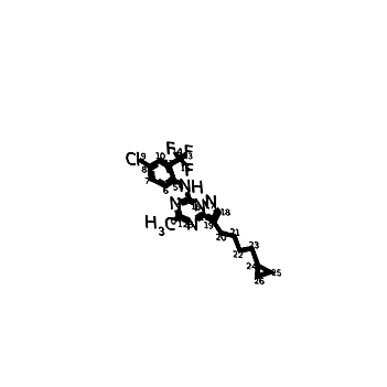 Cc1nc(Nc2ccc(Cl)cc2C(F)(F)F)n2ncc(CCCCC3CC3)c2n1